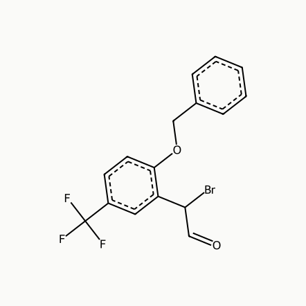 O=CC(Br)c1cc(C(F)(F)F)ccc1OCc1ccccc1